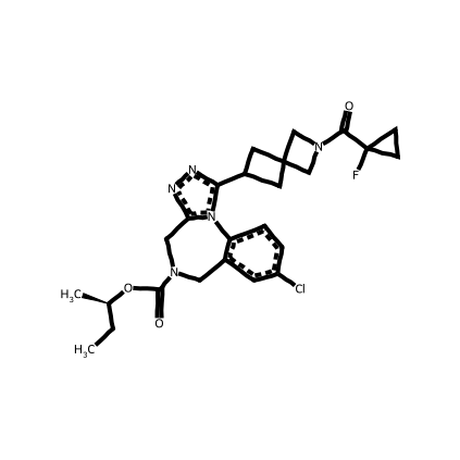 CC[C@@H](C)OC(=O)N1Cc2cc(Cl)ccc2-n2c(nnc2C2CC3(C2)CN(C(=O)C2(F)CC2)C3)C1